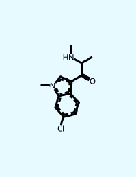 CNC(C)C(=O)c1cn(C)c2cc(Cl)ccc12